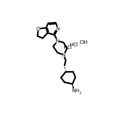 Cl.Cl.Cl.N[C@H]1CC[C@H](CCN2CCN(c3nccc4c3CCO4)CC2)CC1